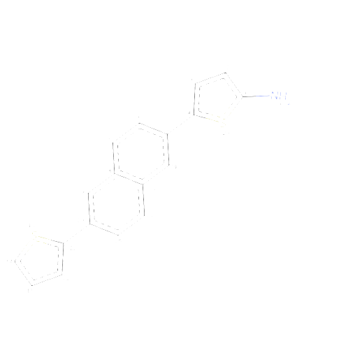 Nc1ccc(-c2ccc3cc(-c4cccs4)ccc3c2)s1